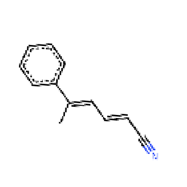 CC(=CC=CC#N)c1ccccc1